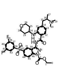 CCOC(=O)n1nc(NC(=O)c2ccc(CC(C)N(C)C)cc2NC2CCOCC2)c2cc(S(=O)(=O)c3cc(F)cc(F)c3)ccc21